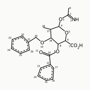 CC(=N)OC1OC(C(=O)O)C(OC(=O)c2ccccc2)C(OCc2ccccc2)C1C